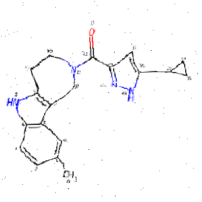 Cc1ccc2[nH]c3c(c2c1)CN(C(=O)c1cc(C2CC2)[nH]n1)CC3